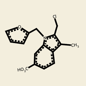 Cc1c(CCl)n(Cc2ccco2)c2cc(C(=O)O)ccc12